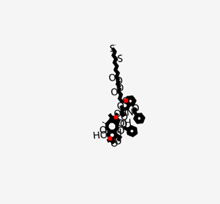 CSCCC(CCCCC(=O)OCOC(=O)CCC(=O)OC(C(=O)OC1C[C@@]2(O)[C@@H](OC(=O)c3ccccc3)[C@H]3[C@](C)(C(=O)[C@H](C)C(=C1C)C2(C)C)[C@@H](O)CC1OC[C@]13OC(C)=O)[C@@H](NC(=O)c1ccccc1)c1ccccc1)SC